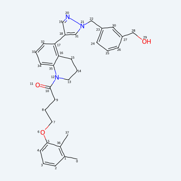 Cc1cccc(OCCCC(=O)N2CCCc3c(-c4cnn(Cc5cccc(CO)c5)c4)cccc32)c1C